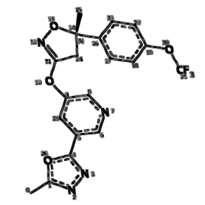 Cc1nnc(-c2cncc(OC3=NO[C@](C)(c4ccc(OC(F)(F)F)cc4)C3)c2)o1